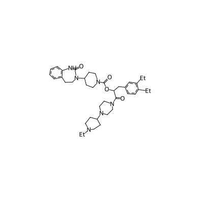 CCc1ccc(CC(OC(=O)N2CCC(N3CCc4ccccc4NC3=O)CC2)C(=O)N2CCN(C3CCN(CC)CC3)CC2)cc1CC